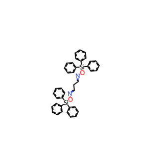 C(CC=NO[Si](c1ccccc1)(c1ccccc1)c1ccccc1)=NO[Si](c1ccccc1)(c1ccccc1)c1ccccc1